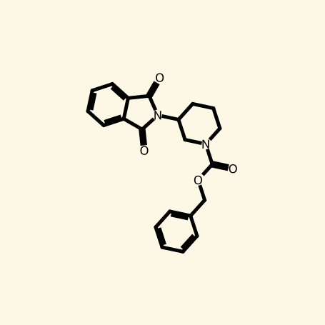 O=C(OCc1ccccc1)N1CCCC(N2C(=O)c3ccccc3C2=O)C1